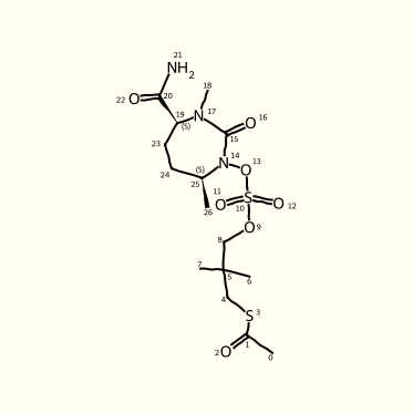 CC(=O)SCC(C)(C)COS(=O)(=O)ON1C(=O)N(C)[C@H](C(N)=O)CC[C@@H]1C